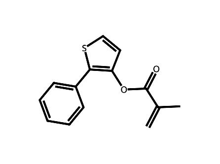 C=C(C)C(=O)Oc1ccsc1-c1ccccc1